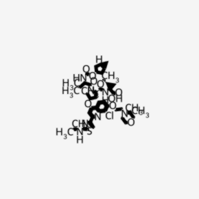 CC[C@@H]1C[C@]1(NC(=O)[C@@H]1C[C@@H](Oc2cc(-c3csc(NC(C)C)n3)nc3c(Cl)c(OCCN4CCOCC4(C)C)ccc23)CN1C(=O)[C@@H](NC(=O)OC1CC2C[C@H]2C1)C(C)(C)C)C(=O)O